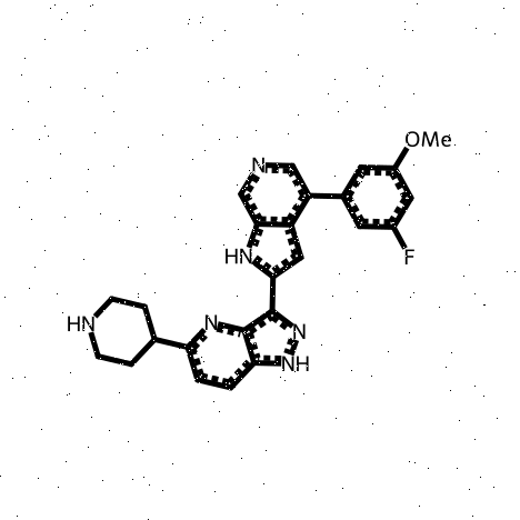 COc1cc(F)cc(-c2cncc3[nH]c(-c4n[nH]c5ccc(C6CCNCC6)nc45)cc23)c1